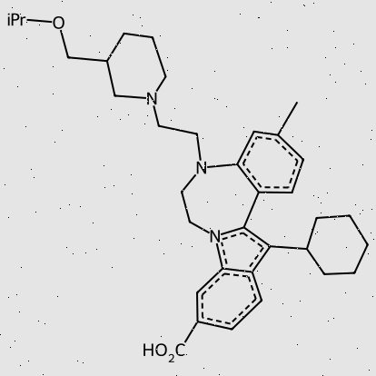 Cc1ccc2c(c1)N(CCN1CCCC(COC(C)C)C1)CCn1c-2c(C2CCCCC2)c2ccc(C(=O)O)cc21